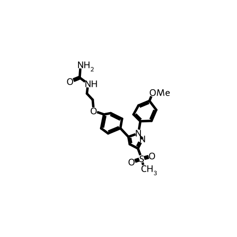 COc1ccc(-n2nc(S(C)(=O)=O)cc2-c2ccc(OCCNC(N)=O)cc2)cc1